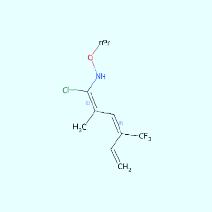 C=C/C(=C\C(C)=C(\Cl)NOCCC)C(F)(F)F